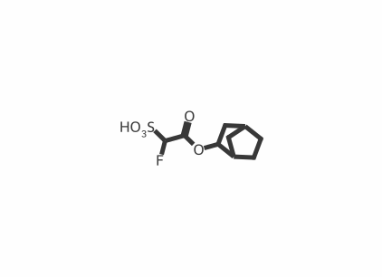 O=C(OC1CC2CCC1C2)C(F)S(=O)(=O)O